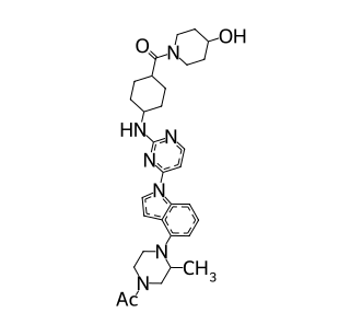 CC(=O)N1CCN(c2cccc3c2ccn3-c2ccnc(NC3CCC(C(=O)N4CCC(O)CC4)CC3)n2)C(C)C1